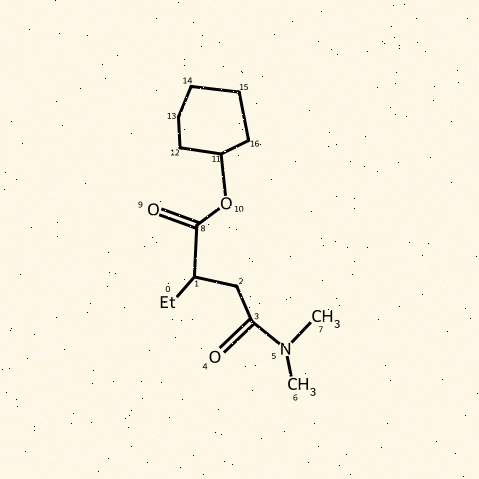 CCC(CC(=O)N(C)C)C(=O)OC1CCCCC1